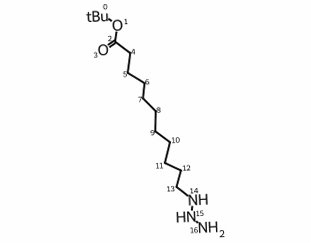 CC(C)(C)OC(=O)CCCCCCCCCCNNN